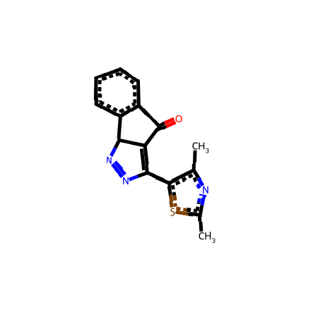 Cc1nc(C)c(C2=C3C(=O)c4ccccc4C3N=N2)s1